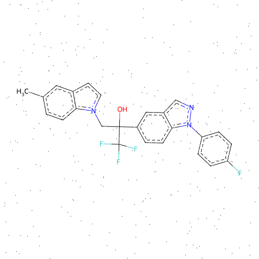 Cc1ccc2c(ccn2CC(O)(c2ccc3c(cnn3-c3ccc(F)cc3)c2)C(F)(F)F)c1